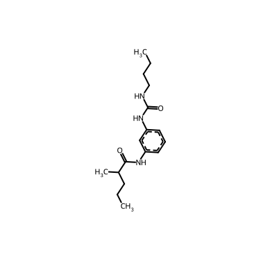 CCCCNC(=O)Nc1cccc(NC(=O)C(C)CCC)c1